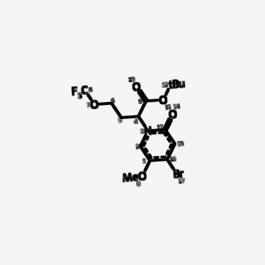 COc1cn(C(CCOC(F)(F)F)C(=O)OC(C)(C)C)c(=O)cc1Br